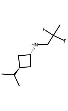 CC(C)[C@H]1C[C@H](NCC(C)(F)F)C1